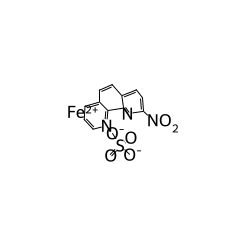 O=S(=O)([O-])[O-].O=[N+]([O-])c1ccc2ccc3cccnc3c2n1.[Fe+2]